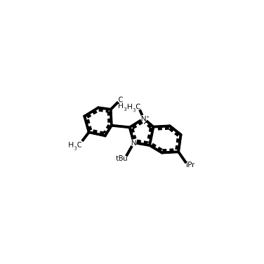 Cc1ccc(C)c(-c2n(C(C)(C)C)c3cc(C(C)C)ccc3[n+]2C)c1